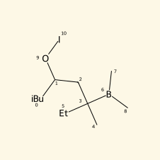 CCC(C)C(CC(C)(CC)B(C)C)OI